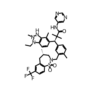 CCN1c2ccc([C@H](c3ccc(C)c(CN4C[C@@H](C)Cc5cc(C(F)(F)F)ccc5S4(=O)=O)c3)C(C)(C)C(=O)Nc3cncnc3)c(C)c2NN1C